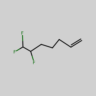 C=CCCCC(F)C(F)F